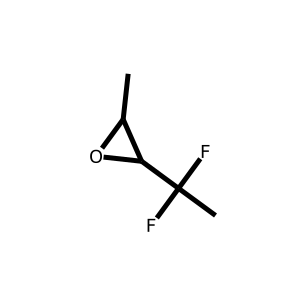 CC1OC1C(C)(F)F